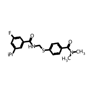 CC(C)c1cc(F)cc(C(=O)NCSc2ccc(C(=O)N(C)C)cc2)c1